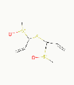 C=CC(SC(C=C)[S+](C)[O-])[S+](C)[O-]